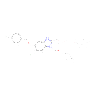 C[Si](C)(C)CCOCOCc1nc2cc(OCc3ccc(Cl)cc3)c(Cl)c(Cl)c2n1COCC[Si](C)(C)C